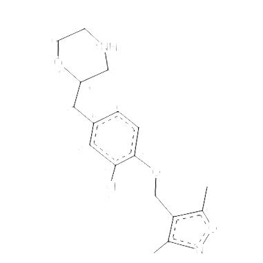 Cc1noc(C)c1COc1ccc(CC2CNCCO2)cc1Cl